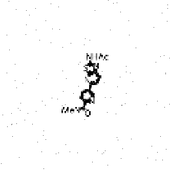 CNC(=O)c1ccc(-c2ccc3nc(NC(C)=O)sc3n2)cn1